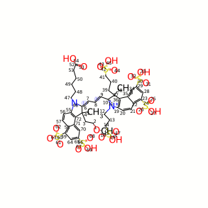 COCCC1(C)/C(=C\C=C\C2=[N+](CCCS(=O)(=O)O)c3ccc4c(S(=O)(=O)O)cc(S(=O)(=O)O)cc4c3C2(C)CCCS(=O)(=O)O)N(CCCCCC(=O)O)c2ccc3c(S(=O)(=O)[O-])cc(S(=O)(=O)O)cc3c21